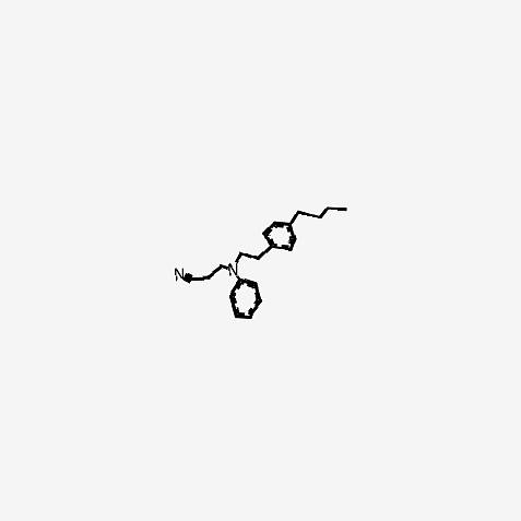 CCCCc1ccc(CCN(CCC#N)c2ccccc2)cc1